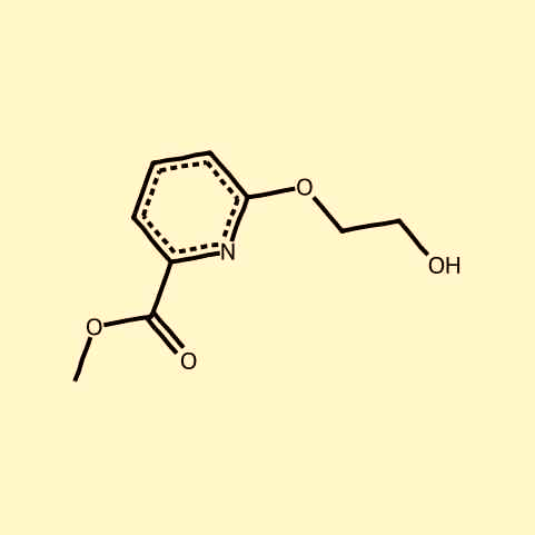 COC(=O)c1cccc(OCCO)n1